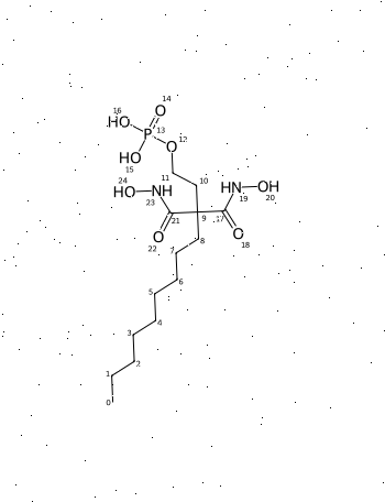 CCCCCCCCCC(CCOP(=O)(O)O)(C(=O)NO)C(=O)NO